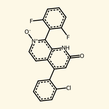 O=c1cc(-c2ccccc2Cl)c2cc[n+]([O-])c(-c3c(F)cccc3F)c2[nH]1